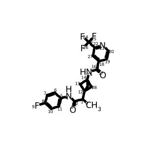 CC(C(=O)Nc1ccc(F)cc1)C12CC(NC(=O)c3ccnc(C(F)(F)F)c3)(C1)C2